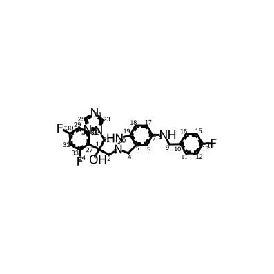 OC(CN1Cc2cc(NCc3ccc(F)cc3)ccc2N1)(Cn1cncn1)c1ccc(F)cc1F